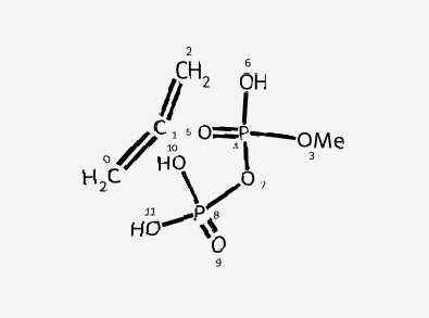 C=C=C.COP(=O)(O)OP(=O)(O)O